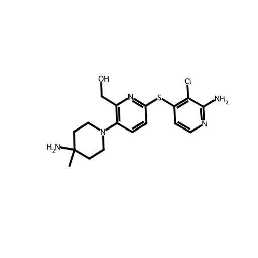 CC1(N)CCN(c2ccc(Sc3ccnc(N)c3Cl)nc2CO)CC1